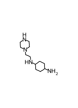 NC1CCC(NCCN2CCNCC2)CC1